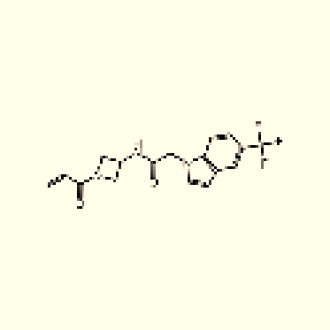 C=CC(=O)N1CC(NC(=O)Cn2ccc3cc(C(F)(F)F)ccc32)C1